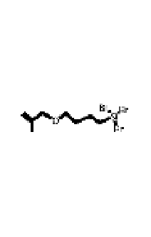 C=C(C)COCCCC[Si](Br)(Br)Br